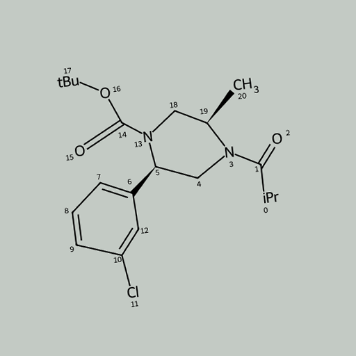 CC(C)C(=O)N1C[C@@H](c2cccc(Cl)c2)N(C(=O)OC(C)(C)C)C[C@H]1C